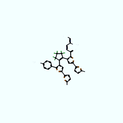 C=C(/C=C\C(=C/C)OC)c1sc(-c2ccc(C(C)(C)C)s2)cc1C1=C(c2cc(-c3ccc(C(C)(C)C)s3)sc2-c2ccc(OC)cc2)C(F)(F)C(F)(F)C1(F)F